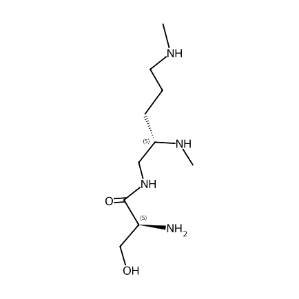 CNCCC[C@@H](CNC(=O)[C@@H](N)CO)NC